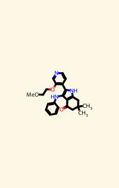 COCCOc1cnccc1-c1[nH]c2c(c1Nc1ccccc1)C(=O)CC(C)(C)C2